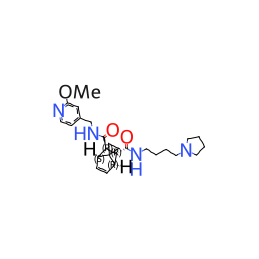 COc1cc(CNC(=O)[C@H]2[C@H](C(=O)NCCCCN3CCCC3)[C@H]3C=C[C@@H]2C32CC2)ccn1